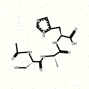 CC(=O)N[C@@H](CS)C(=O)N[C@@H](C)C(=O)N[C@@H](Cc1cnc[nH]1)C(=O)O